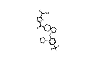 O=C(O)c1ccn(C(=O)N2CCC3(CCCN3Cc3ccc(C(F)(F)F)cc3N3CCCC3)CC2)n1